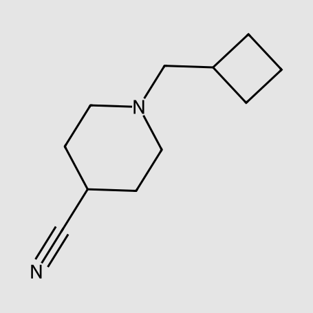 N#CC1CCN(CC2CCC2)CC1